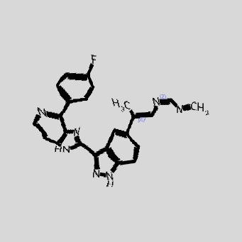 C=N/C=N\C=C(/C)c1ccc2[nH]nc(-c3nc4c(-c5ccc(F)cc5)nccc4[nH]3)c2c1